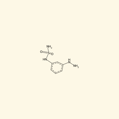 NNc1cccc(NS(N)(=O)=O)c1